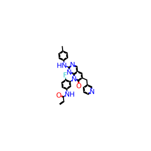 C=CC(=O)Nc1ccc(F)c(-n2c(=O)c(Cc3cccnc3)cc3cnc(Nc4ccc(C)cc4)nc32)c1